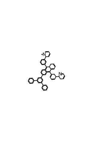 CN1C=CC=CC1c1cccc(C2=c3ccc(-c4cc(-c5ccccc5)cc(-c5ccccc5)c4)cc3=C(C3=CC=CC(C4CC=CC=N4)C3)C3=CC=CCC32)c1